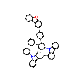 C/C=c1\c(=C/Cc2cccc3c4ccccc4n(-c4ccc(-c5ccccc5)c(-c5ccc(-c6ccc7oc8ccccc8c7c6)cc5)c4)c23)c2ccccc2n1-c1ccccc1